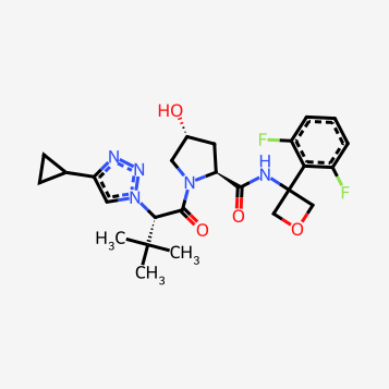 CC(C)(C)[C@@H](C(=O)N1C[C@H](O)C[C@H]1C(=O)NC1(c2c(F)cccc2F)COC1)n1cc(C2CC2)nn1